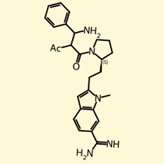 CC(=O)C(C(=O)N1CCC[C@H]1CCc1cc2ccc(C(=N)N)cc2n1C)C(N)c1ccccc1